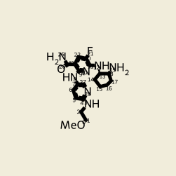 COCCNc1ccc(Nc2nc(N[C@@H]3CCCCC3N)c(F)cc2C(N)=O)cn1